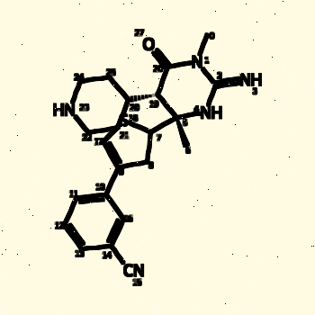 CN1C(=N)N[C@](C)(C2CC(c3cccc(C#N)c3)=CS2)[C@H](C2CCNCC2)C1=O